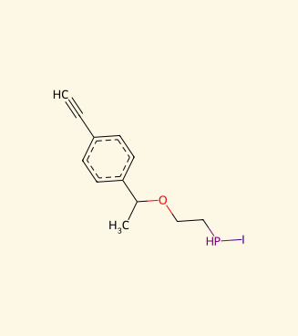 C#Cc1ccc(C(C)OCCPI)cc1